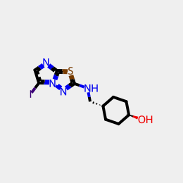 O[C@H]1CC[C@H](CNc2nn3c(I)cnc3s2)CC1